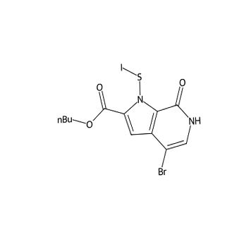 CCCCOC(=O)c1cc2c(Br)c[nH]c(=O)c2n1SI